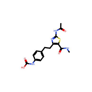 CNC(=O)c1sc(NC(C)=O)nc1CCc1ccc(NC(=O)O)cc1